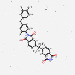 Cc1cc(Cc2cc(C)c(N3C(=O)c4ccc(C(c5ccc6c(c5)C(=O)NC6=O)(C(F)(F)F)C(F)(F)F)cc4C3=O)c(C)c2)cc(C)c1C(C)C